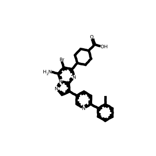 Cc1ccccc1-c1ccc(-c2cnn3c(N)c(Br)c(C4CCC(C(=O)O)CC4)nc23)cn1